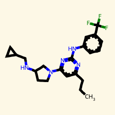 CCCc1cc(N2CCC(NCC3CC3)C2)nc(Nc2cccc(C(F)(F)F)c2)n1